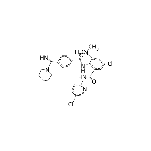 CN(C)c1cc(Cl)cc(C(=O)Nc2ccc(Cl)cn2)c1NC(=O)c1ccc(C(=N)N2CCCCC2)cc1